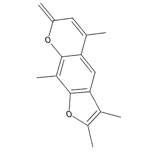 C=C1C=C(C)c2cc3c(C)c(C)oc3c(C)c2O1